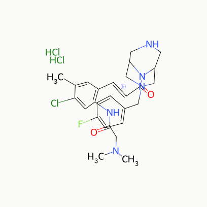 Cc1cc(/C=C/C(=O)N2C3CNCC2CN(Cc2ccc(F)cc2)C3)c(NC(=O)CN(C)C)cc1Cl.Cl.Cl